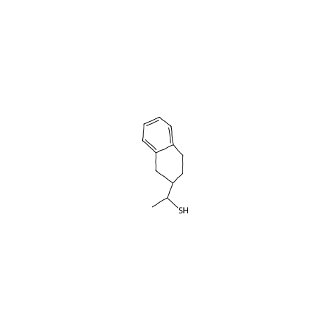 CC(S)C1CCc2ccccc2C1